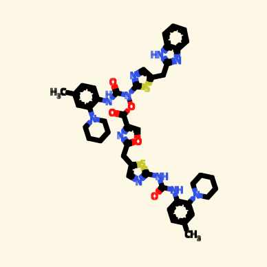 Cc1ccc(NC(=O)Nc2ncc(Cc3nc(C(=O)ON(C(=O)Nc4ccc(C)cc4N4CCCCC4)c4ncc(Cc5nc6ccccc6[nH]5)s4)co3)s2)c(N2CCCCC2)c1